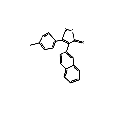 Cc1ccc(-c2ssc(=S)c2-c2ccc3ccccc3c2)cc1